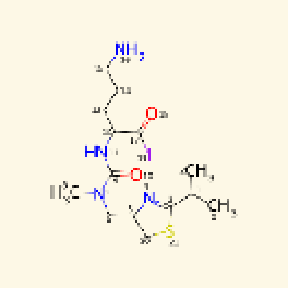 CC(C)C1=NC(CN(C)C(=O)NC(CCCN)C(=O)I)CS1